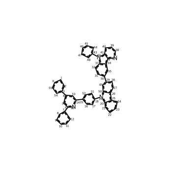 c1ccc(-c2cc(-c3ccccc3)nc(-c3ccc(-n4c5ccccc5c5ccc(-c6ccc7c(c6)c6ncccc6n7-c6ccccc6)cc54)cc3)c2)cc1